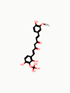 COc1cc(C=CC(=O)CC(=O)C=Cc2ccc(O)c(OC(O)(O)O)c2O)ccc1O